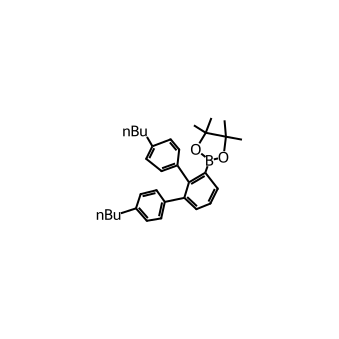 CCCCc1ccc(-c2cccc(B3OC(C)(C)C(C)(C)O3)c2-c2ccc(CCCC)cc2)cc1